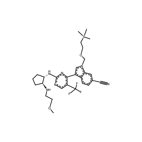 COCCN[C@H]1CCC[C@@H]1Nc1ncc(C(F)(F)F)c(-c2cn(COCC[Si](C)(C)C)c3cc(C#N)ccc23)n1